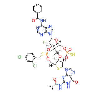 CC(C)C(=O)Nc1nc2c(ncn2[C@@H]2S[C@@H]3COP(SCc4ccc(Cl)cc4Cl)O[C@H]4[C@H](F)[C@H](n5cnc6c(NC(=O)c7ccccc7)ncnc65)O[C@@H]4COP(=O)(S)O[C@@H]2[C@@H]3O[Si](C)(C)C(C)(C)C)c(=O)[nH]1